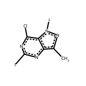 Cc1nn(I)c2c(Cl)nc(I)nc12